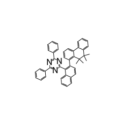 CC1(C)c2ccccc2-c2cccc(-c3ccc4ccccc4c3-c3nc(-c4ccccc4)nc(-c4ccccc4)n3)c2C1(C)C